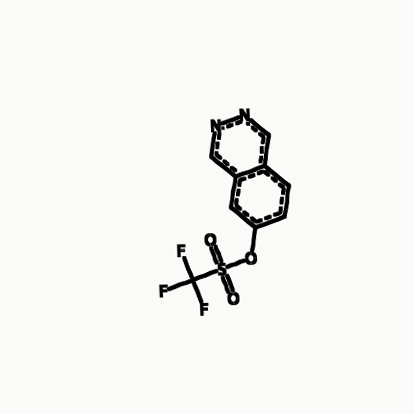 O=S(=O)(Oc1ccc2cnncc2c1)C(F)(F)F